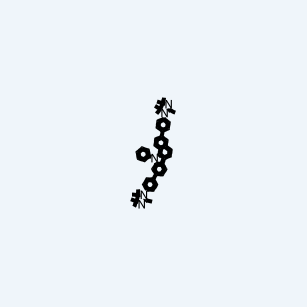 CC1=NC(C)(C)C(C)(C)N1c1ccc(-c2ccc3c(ccc4c5ccc(-c6ccc(N7C(C)=NC(C)(C)C7(C)C)cc6)cc5n(-c5ccccc5)c34)c2)cc1